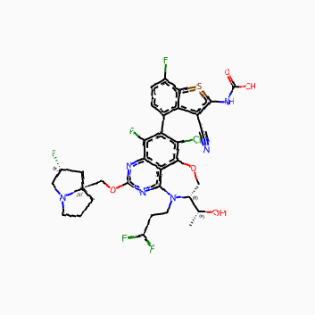 C[C@@H](O)[C@H]1COc2c(Cl)c(-c3ccc(F)c4sc(NC(=O)O)c(C#N)c34)c(F)c3nc(OC[C@@]45CCCN4C[C@H](F)C5)nc(c23)N1CCC(F)F